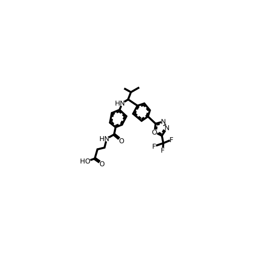 CC(C)C(Nc1ccc(C(=O)NCCC(=O)O)cc1)c1ccc(-c2nnc(C(F)(F)F)o2)cc1